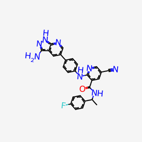 CC(NC(=O)c1cc(C#N)cnc1Nc1ccc(-c2cnc3[nH]nc(N)c3c2)cc1)c1ccc(F)cc1